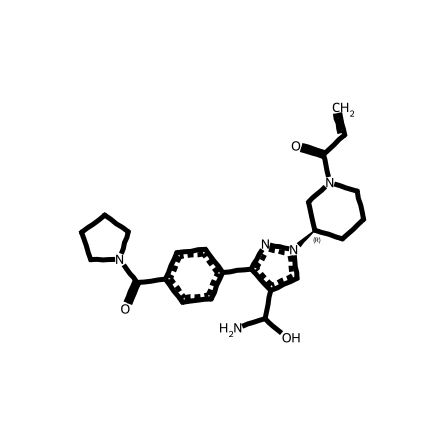 C=CC(=O)N1CCC[C@@H](n2cc(C(N)O)c(-c3ccc(C(=O)N4CCCC4)cc3)n2)C1